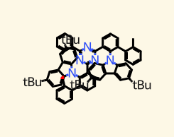 Cc1ccccc1-c1cccc(-c2nc(-c3ccccc3)nc(-c3cccc(-c4ccccc4C)c3-n3c4ccc(C(C)(C)C)cc4c4cc(C(C)(C)C)ccc43)n2)c1-n1c2ccc(C(C)(C)C)cc2c2cc(C(C)(C)C)ccc21